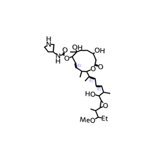 CCC(OC)C(C)C1OC1C(O)C(C)/C=C/C=C(\C)C1OC(=O)CC(O)CCC(C)(O)C(OC(=O)NC2CCNC2)/C=C/C1C